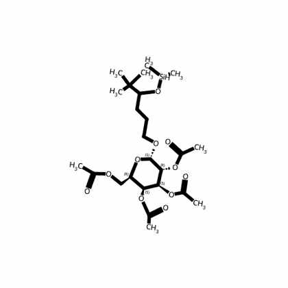 CC(=O)OC[C@H]1O[C@H](OCCCC(O[SiH](C)C)C(C)(C)C)[C@H](OC(C)=O)[C@@H](OC(C)=O)[C@H]1OC(C)=O